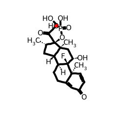 C[C@H]1C[C@H]2[C@@H]3CCC4=CC(=O)C=C[C@]4(C)[C@@]3(F)[C@@H](O)C[C@]2(C)[C@@]1(OP(=O)(O)O)C(=O)CO